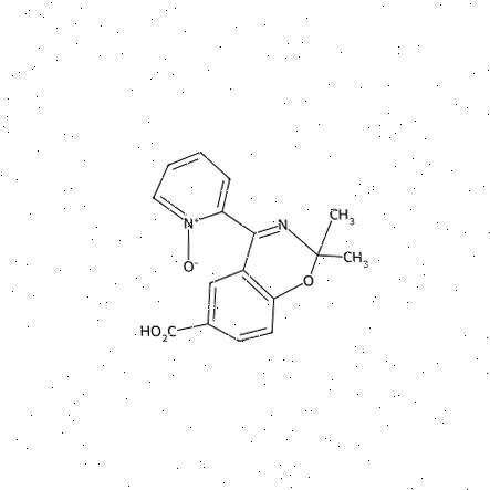 CC1(C)N=C(c2cccc[n+]2[O-])c2cc(C(=O)O)ccc2O1